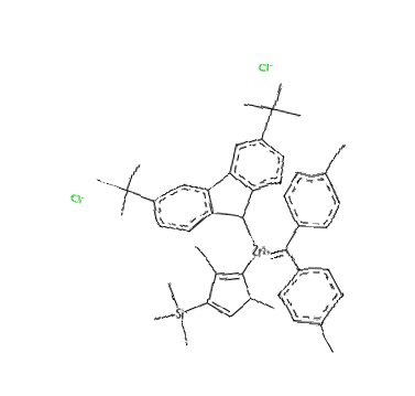 CC1=[C]([Zr+2](=[C](c2ccc(C)cc2)c2ccc(C)cc2)[CH]2c3ccc(C(C)(C)C)cc3-c3cc(C(C)(C)C)ccc32)C(C)C=C1[Si](C)(C)C.[Cl-].[Cl-]